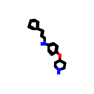 C(=C\c1ccccc1)/CNc1ccc(OC2CCNCC2)cc1